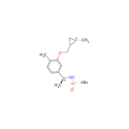 CCCC[S@+]([O-])N[C@@H](C)c1ccc(C)c(OCC2C[C@@H]2C)c1